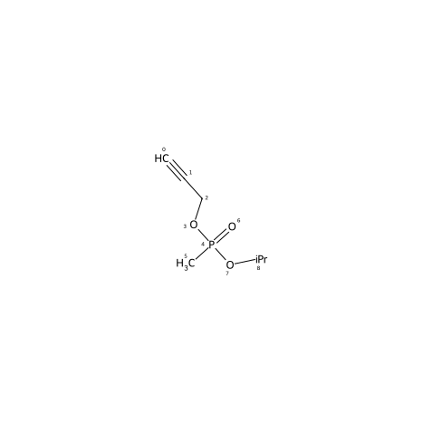 C#CCOP(C)(=O)OC(C)C